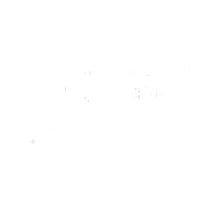 Cc1c(C)n(Cc2ccc(-c3ccccc3C(=O)O)cc2)c2ccc(C(=O)NC(C)(C)c3ccc(Br)cc3)cc12